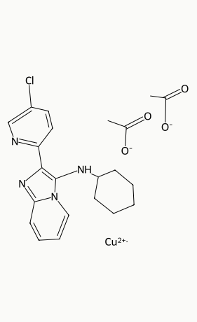 CC(=O)[O-].CC(=O)[O-].Clc1ccc(-c2nc3ccccn3c2NC2CCCCC2)nc1.[Cu+2]